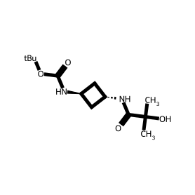 CC(C)(C)OC(=O)N[C@H]1C[C@H](NC(=O)C(C)(C)O)C1